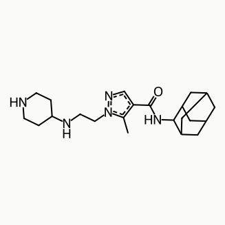 Cc1c(C(=O)NC2C3CC4CC(C3)CC2C4)cnn1CCNC1CCNCC1